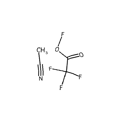 CC#N.O=C(OF)C(F)(F)F